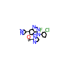 C[C@@H](Oc1cc2c(Nc3cccc(Cl)c3F)ncnc2cc1-c1cnn(C)c1)c1ncccn1